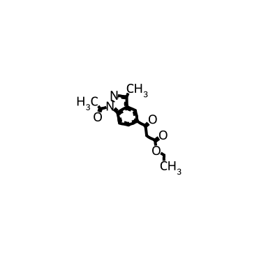 CCOC(=O)CC(=O)c1ccc2c(c1)c(C)nn2C(C)=O